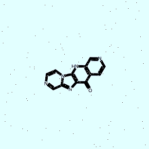 O=c1c2ccncc2[nH]c2c1nc1cnccn12